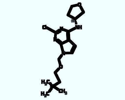 C[Si](C)(C)CCOCn1ccc2c(N[C@@H]3CCOC3)nc(Cl)nc21